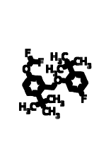 CC(C)(C)c1ccc(OC(F)F)cc1COc1cc(F)ccc1C(C)(C)C